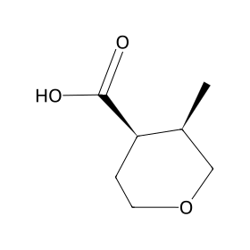 C[C@H]1COCC[C@H]1C(=O)O